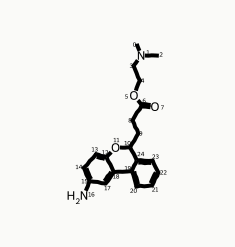 CN(C)CCOC(=O)CCC1Oc2ccc(N)cc2-c2ccccc21